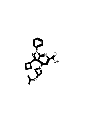 CC(C)OC1CN(c2cc(C(=O)O)nc3c2c(C2CCC2)nn3-c2ccccc2)C1